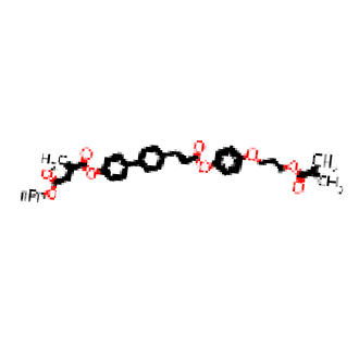 C=C(C)C(=O)OCCCOc1ccc(OC(=O)/C=C/c2ccc(-c3ccc(OC(=O)C(=C)CC(=O)OCCC)cc3)cc2)cc1